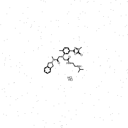 Cc1ccc(-c2nn(C)c(=O)o2)cc1N(CC(=O)NCCNC(C)C)CC(=O)N(C)N1Cc2ccccc2C1.Cl.Cl